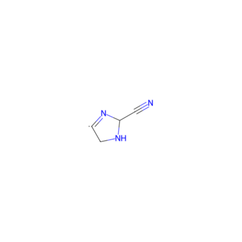 N#CC1N=[C]CN1